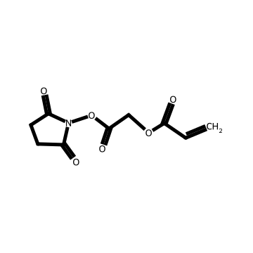 C=CC(=O)OCC(=O)ON1C(=O)CCC1=O